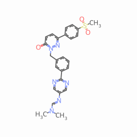 CN(C)C=Nc1cnc(-c2cccc(Cn3nc(-c4ccc(S(C)(=O)=O)cc4)ccc3=O)c2)nc1